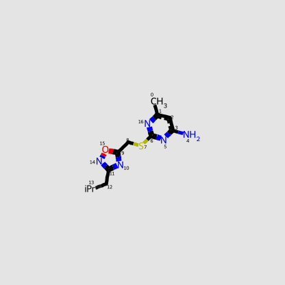 Cc1cc(N)nc(SCc2nc(CC(C)C)no2)n1